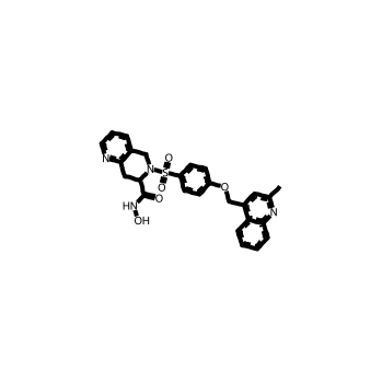 Cc1cc(COc2ccc(S(=O)(=O)N3Cc4cccnc4CC3C(=O)NO)cc2)c2ccccc2n1